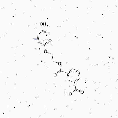 O=C(O)/C=C\C(=O)OCCOC(=O)c1cccc(C(=O)O)c1